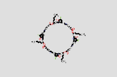 CCCCC[C@H]1C/C=C2/C(=O)C(F)=C[C@@H]2C/C=C\CCCC(=O)O[C@H](CCCCC)C/C=C2/C(=O)C(F)=CC2C/C=C\CCCC(=O)O[C@@H](CCCCC)C/C=C2/C(=O)C(F)=C[C@@H]2C/C=C\CCCC(=O)O[C@H](CCCCC)C/C=C2/C(=O)C(F)=CC2C/C=C\CCCC(=O)O1